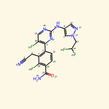 N#CCc1c(-c2nc(Nc3cnn(CC(F)F)c3)ncc2F)ccc(C(N)=O)c1F